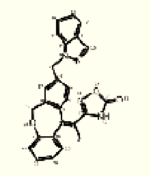 CC(=C1c2ccc(Cn3ncc4ccccc43)cc2COc2ccccc21)c1noc(=O)[nH]1